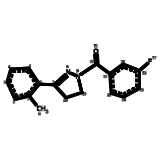 Cc1ccccc1C1=NN(C(=O)c2cccc(F)c2)CC1